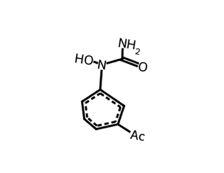 CC(=O)c1cccc(N(O)C(N)=O)c1